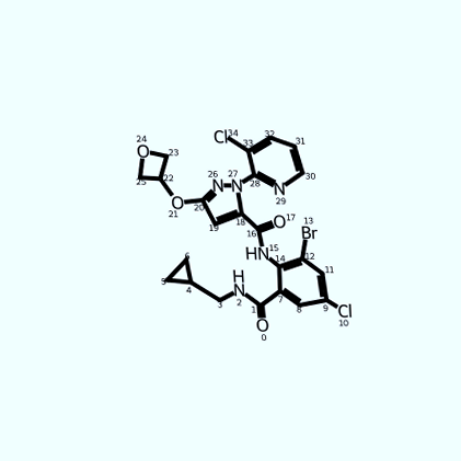 O=C(NCC1CC1)c1cc(Cl)cc(Br)c1NC(=O)c1cc(OC2COC2)nn1-c1ncccc1Cl